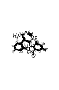 Cc1ncnc(Nc2c(F)cc(F)cc2[N+](=O)[O-])c1-c1ccc(F)cc1Cl